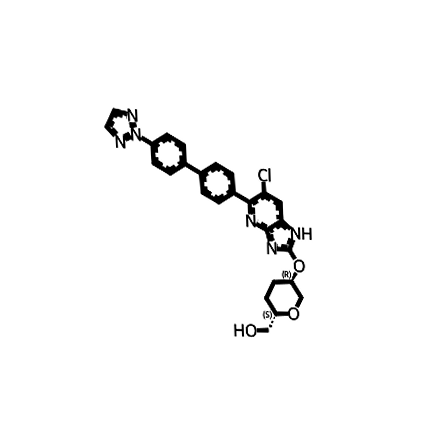 OC[C@@H]1CC[C@@H](Oc2nc3nc(-c4ccc(-c5ccc(-n6nccn6)cc5)cc4)c(Cl)cc3[nH]2)CO1